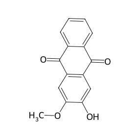 COc1cc2c(cc1O)C(=O)c1ccccc1C2=O